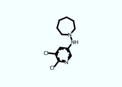 Clc1cc(NN2CCCCCC2)cnc1Cl